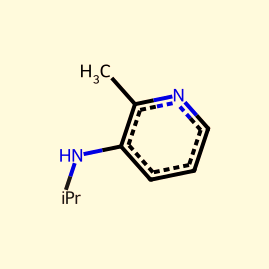 Cc1ncccc1NC(C)C